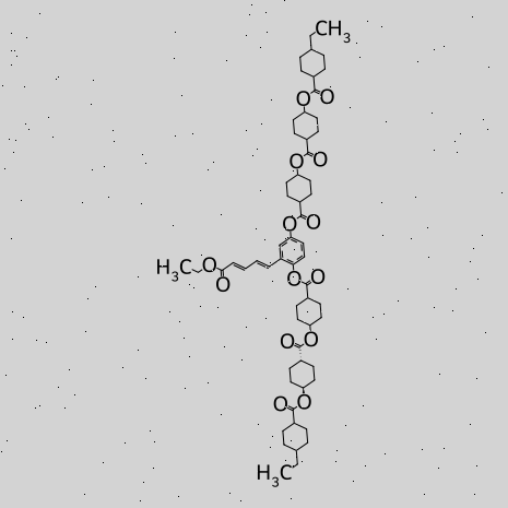 CCOC(=O)/C=C/C=C/c1cc(OC(=O)C2CCC(OC(=O)C3CCC(OC(=O)C4CCC(CC)CC4)CC3)CC2)ccc1OC(=O)C1CCC(OC(=O)[C@H]2CC[C@H](OC(=O)C3CCC(CC)CC3)CC2)CC1